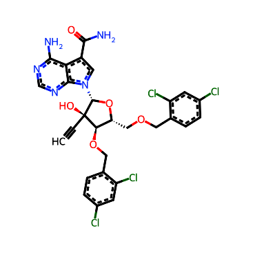 C#C[C@@]1(O)[C@H](OCc2ccc(Cl)cc2Cl)[C@@H](COCc2ccc(Cl)cc2Cl)O[C@H]1n1cc(C(N)=O)c2c(N)ncnc21